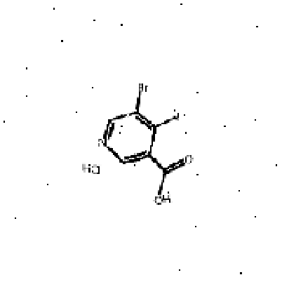 Cl.O=C(O)c1cncc(Br)c1I